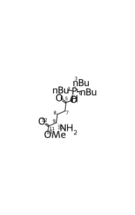 CCCC[PH](CCCC)(CCCC)OC(=O)CC[C@H](N)C(=O)OC